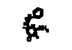 CN1C(=O)C[C@@](C)([C@H]2C[C@H]2c2ccccc2)N=C1N